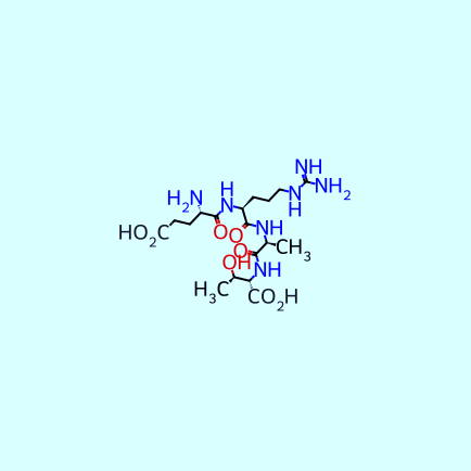 C[C@H](NC(=O)[C@H](CCCNC(=N)N)NC(=O)[C@@H](N)CCC(=O)O)C(=O)N[C@H](C(=O)O)[C@@H](C)O